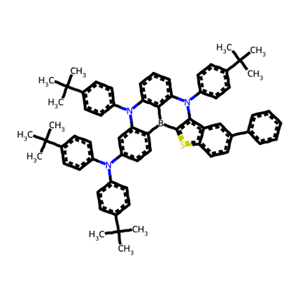 CC(C)(C)c1ccc(N(c2ccc(C(C)(C)C)cc2)c2ccc3c(c2)N(c2ccc(C(C)(C)C)cc2)c2cccc4c2B3c2sc3ccc(-c5ccccc5)cc3c2N4c2ccc(C(C)(C)C)cc2)cc1